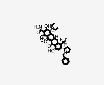 CCN(CC)[C@@H]1C(O)=C(C(N)=O)C(=O)[C@@]2(O)C(O)=C3C(=O)c4c(O)cc([C@@H]5CCCN5Cc5ccccc5)c(C(F)(F)F)c4C[C@H]3C[C@@H]12